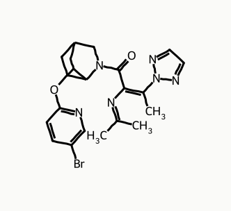 CC(C)=N/C(C(=O)N1CC2CCC1C(Oc1ccc(Br)cn1)C2)=C(\C)n1nccn1